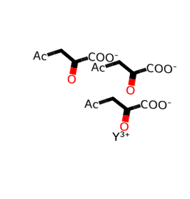 CC(=O)CC(=O)C(=O)[O-].CC(=O)CC(=O)C(=O)[O-].CC(=O)CC(=O)C(=O)[O-].[Y+3]